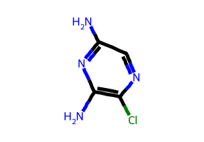 Nc1cnc(Cl)c(N)n1